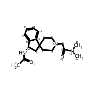 CC(=O)N[C@H]1CC2(CCN(CC(=O)N(C)C)CC2)c2ccccc21